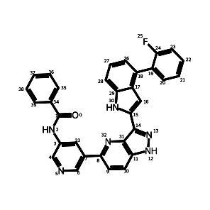 O=C(Nc1cncc(-c2ccc3[nH]nc(-c4cc5c(-c6ccccc6F)cccc5[nH]4)c3n2)c1)c1ccccc1